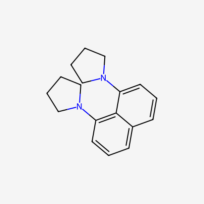 c1cc(N2CCCC2)c2c(N3CCCC3)cccc2c1